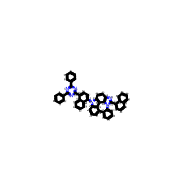 c1ccc(-c2nc(-c3ccccc3)nc(-c3ccc(-n4c5cccc6c7ccccc7n7c(-c8cccc9ccccc89)nc8ccc4c(c65)c87)c4ccccc34)n2)cc1